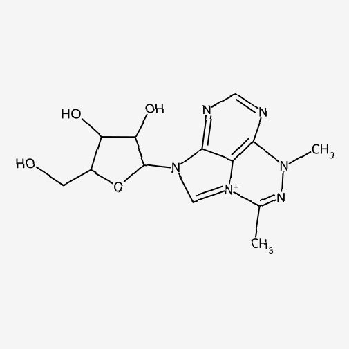 CC1=NN(C)c2ncnc3c2[n+]1cn3C1OC(CO)C(O)C1O